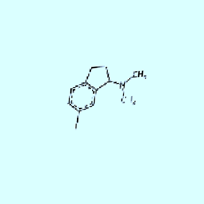 CN(C)C1CCc2ccc(I)cc21